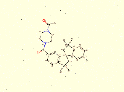 CC(=O)N1CCN(C(=O)c2ccc3c(c2)C2(CC(C)(C)c4ccc(C)cc42)CC3(C)C)CC1